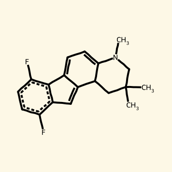 CN1CC(C)(C)CC2C3=Cc4c(F)ccc(F)c4C3=CC=C21